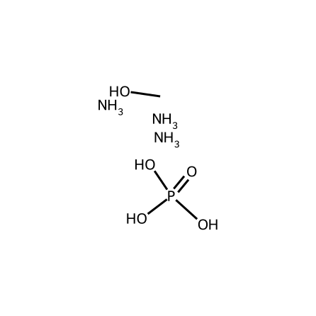 CO.N.N.N.O=P(O)(O)O